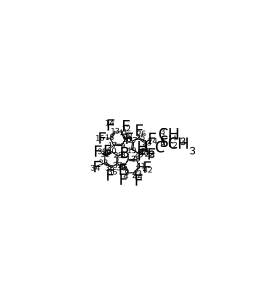 C[Si+](C)C.Fc1cc([B-](c2cc(F)c(F)c(F)c2F)(c2cc(F)c(F)c(F)c2F)c2cc(F)c(F)c(F)c2F)c(F)c(F)c1F